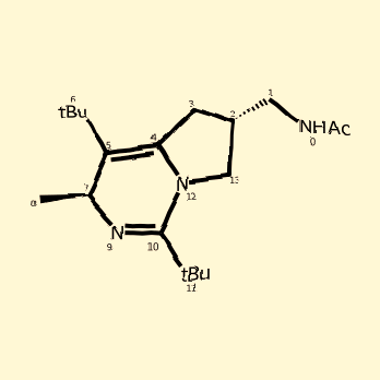 CC(=O)NC[C@H]1CC2=C(C(C)(C)C)[C@H](C)N=C(C(C)(C)C)N2C1